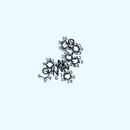 C=Nc1c(/C=C\C)oc2cccc(-c3nc(-c4ccccc4)nc(-c4ccc(-c5cccc6oc7ccccc7c56)c5ccccc45)n3)c12